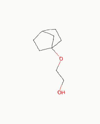 OCCOC12CCC(CC1)C2